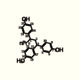 CCCC(CC(c1ccc(O)cc1)c1ccc(O)cc1)c1ccc(O)cc1